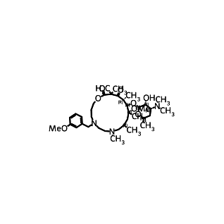 COc1cccc(CN2CCCOC(=O)C(C)(C)C(=O)[C@H](C)[C@@H](O[C@@H]3O[C@H](C)C[C@H](N(C)C)[C@H]3O)[C@](C)(OC)C[C@@H](C)CN(C)CC2)c1